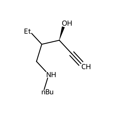 C#C[C@H](O)C(CC)CNCCCC